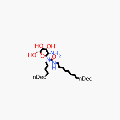 CCCCCCCCCCCCCCCCCCNC(=O)N(CCCCCCCCCCCCCC)[C@@H]1O[C@H](CO)[C@@H](O)[C@H](O)[C@@H]1N